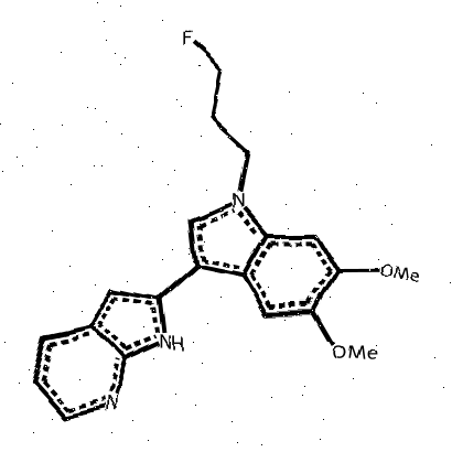 COc1cc2c(-c3cc4cccnc4[nH]3)cn(CCCF)c2cc1OC